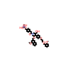 COc1ccccc1COCCCOc1ccc(C2C(CO)CN(C(=O)Cc3ccc(CON(O)O)cc3)CC2OCc2cc(OC)c3ccccc3c2)cc1